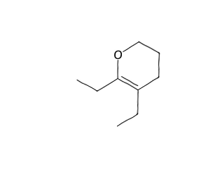 CCC1=C(CC)OCCC1